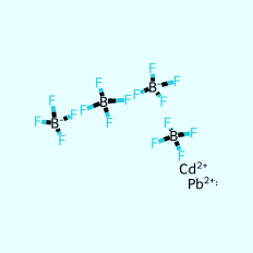 F[B-](F)(F)F.F[B-](F)(F)F.F[B-](F)(F)F.F[B-](F)(F)F.[Cd+2].[Pb+2]